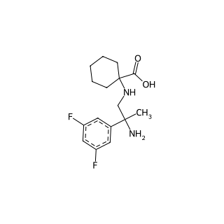 CC(N)(CNC1(C(=O)O)CCCCC1)c1cc(F)cc(F)c1